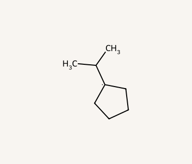 CC(C)[C]1CCCC1